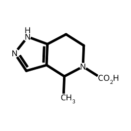 CC1c2cn[nH]c2CCN1C(=O)O